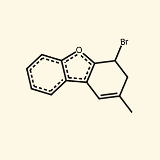 CC1=Cc2c(oc3ccccc23)C(Br)C1